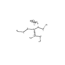 CCCC(CCC)=C(C)CC.Cl.N